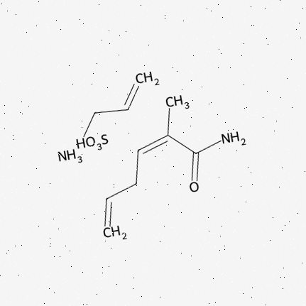 C=CCC=C(C)C(N)=O.C=CCS(=O)(=O)O.N